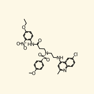 CCOc1ccc(NC(=O)CCN(CCNc2cc(C)nc3ccc(Cl)cc23)S(=O)(=O)c2ccc(OC)cc2)c([N+](=O)[O-])c1